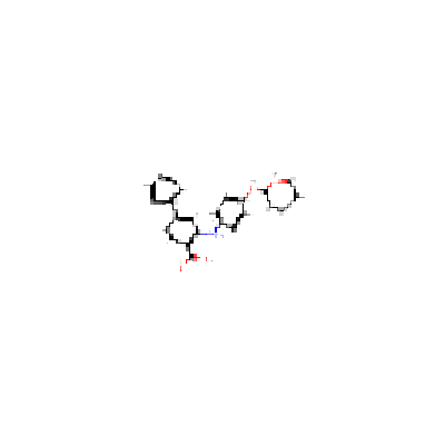 O=C(O)c1ccc(-c2ccccc2)cc1Nc1ccc(OC2CCCCO2)cc1